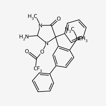 CN(C)c1ccc(-c2ccccc2)cc1C1(c2ccccc2)C(=O)N(C)C(N)N1OC(=O)C(F)(F)F